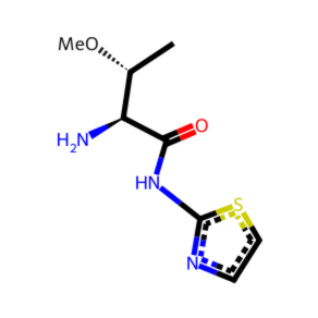 CO[C@H](C)[C@H](N)C(=O)Nc1nccs1